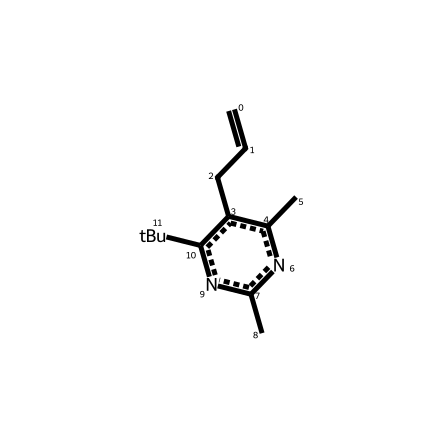 C=CCc1c(C)nc(C)nc1C(C)(C)C